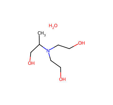 CC(CO)N(CCO)CCO.O